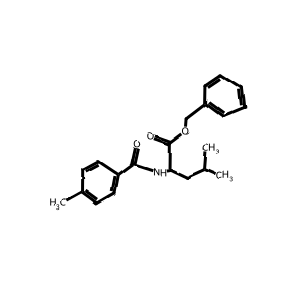 Cc1ccc(C(=O)NC(CC(C)C)C(=O)OCc2ccccc2)cc1